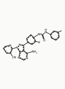 Cc1cccc(NC(=O)Nc2ccc(-c3nn(-c4ncccc4C#N)c4ncnc(N)c34)cc2F)c1